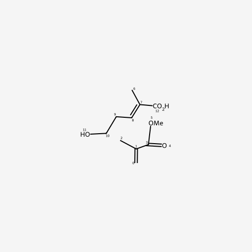 C=C(C)C(=O)OC.CC(=CCCO)C(=O)O